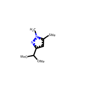 COC(OC)c1cc(SC)n(C)n1